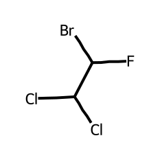 FC(Br)C(Cl)Cl